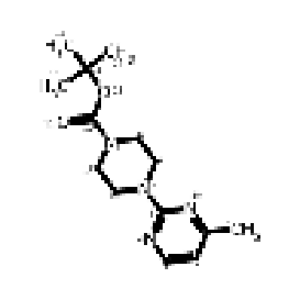 Cc1ccnc(N2CCN(C(=O)OC(C)(C)C)CC2)n1